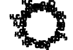 CC[C@H](C)C1NC(=O)C(CC(C)C)N(C)C(=O)CC(C(=O)N2CCCCC2)N(C)C(=O)CN(C)C(=O)C2(CCCC2)NC(=O)CN(C)C(=O)CNC(=O)CN(C)C(=O)CN(C)C(=O)CN(C)C(=O)CN(C)C1=O